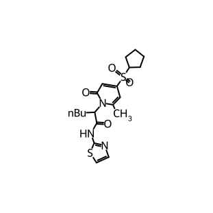 CCCCC(C(=O)Nc1nccs1)n1c(C)cc(S(=O)(=O)C2CCCC2)cc1=O